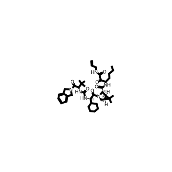 C=CCNC(=O)C(=O)C(CCCC)NC(=O)[C@@H]1[C@@H]2[C@H](CN1C(=O)[C@@H](NC(=O)N[C@H](C(=O)N1Cc3ccccc3C1)C(C)(C)C)C1CCCCC1)C2(C)C